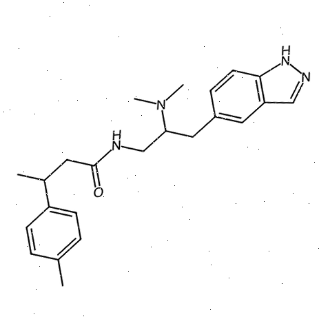 Cc1ccc(C(C)CC(=O)NCC(Cc2ccc3[nH]ncc3c2)N(C)C)cc1